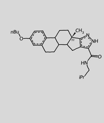 CCCCOc1ccc2c(c1)CCC1C2CC[C@]2(C)c3n[nH]c(C(=O)NCC(C)C)c3CC12